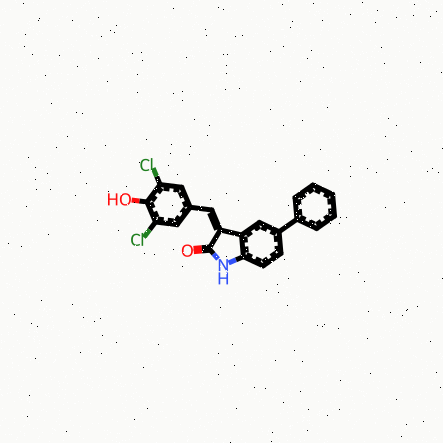 O=C1Nc2ccc(-c3ccccc3)cc2C1=Cc1cc(Cl)c(O)c(Cl)c1